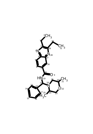 CCc1nc2ccc(C(=O)NC(c3ccccc3)N3CC(C)OCC3C)cc2nc1CC